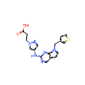 O=C(O)CCn1cc(Nc2ncc3ccn(Cc4ccsc4)c3n2)cn1